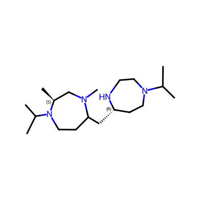 CC(C)N1CCN[C@@H](CC2CCN(C(C)C)[C@@H](C)CN2C)CC1